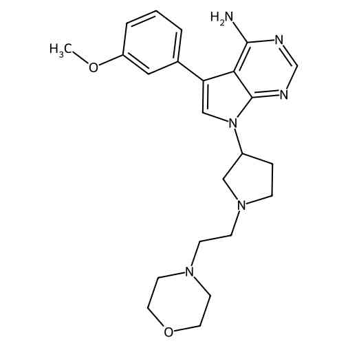 COc1cccc(-c2cn(C3CCN(CCN4CCOCC4)C3)c3ncnc(N)c23)c1